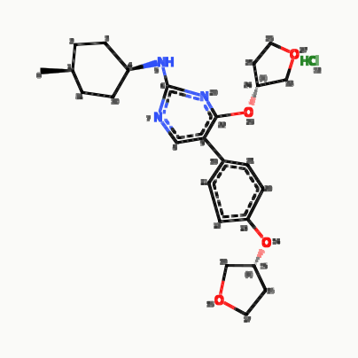 C[C@H]1CC[C@@H](Nc2ncc(-c3ccc(O[C@@H]4CCOC4)cc3)c(O[C@@H]3CCOC3)n2)CC1.Cl